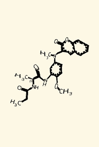 CCC(=O)N[C@@H](C)C(=O)Nc1cc(N(C)c2cc3ccccc3oc2=O)ccc1OC